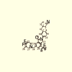 CCC(CC#N)Cc1cccc(N2Cc3c(cc(CN4CCC(F)(F)C(C)C4)cc3C(F)(F)F)C2=O)c1